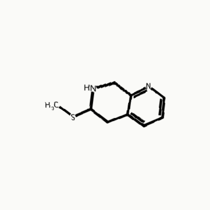 CSC1Cc2cccnc2CN1